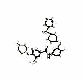 Cc1ccc(NC(=O)c2ccc(CN3CCN(C)CC3)c(C(F)(F)F)c2)cc1OC1CCN(C(=O)c2cccnc2)CC1